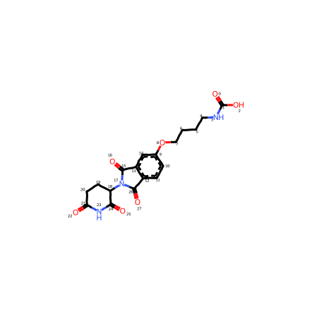 O=C(O)NCCCCOc1ccc2c(c1)C(=O)N(C1CCC(=O)NC1=O)C2=O